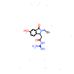 CC(C)CN1C(=O)c2cc(O)ccc2C1CC(=O)NC(=N)N